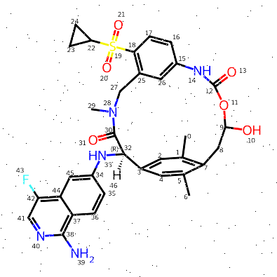 Cc1cc2cc(C)c1CC(O)OC(=O)Nc1ccc(S(=O)(=O)C3CC3)c(c1)CN(C)C(=O)[C@@H]2Nc1ccc2c(N)ncc(F)c2c1